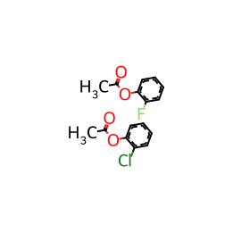 CC(=O)Oc1ccccc1Cl.CC(=O)Oc1ccccc1F